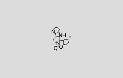 COC(=O)N1CCc2c([nH]c3cccnc23)C1c1cccc(F)c1